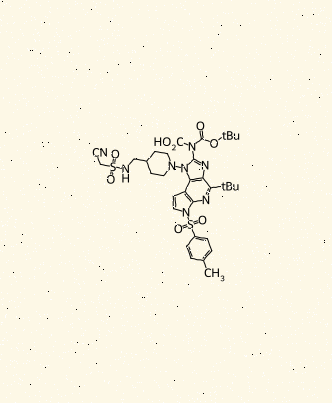 Cc1ccc(S(=O)(=O)n2ccc3c2nc(C(C)(C)C)c2nc(N(C(=O)O)C(=O)OC(C)(C)C)n(N4CCC(CNS(=O)(=O)CC#N)CC4)c23)cc1